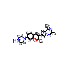 CCc1nc(C)cn2cc(-c3cc4ccc(N5CCNCC5)cc4oc3=O)nc12